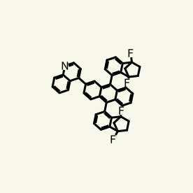 FC12CCC(F)(C1)c1c(-c3c4ccccc4c(-c4cccc5c4C4(F)CCC5(F)C4)c4cc(-c5ccnc6ccccc56)ccc34)cccc12